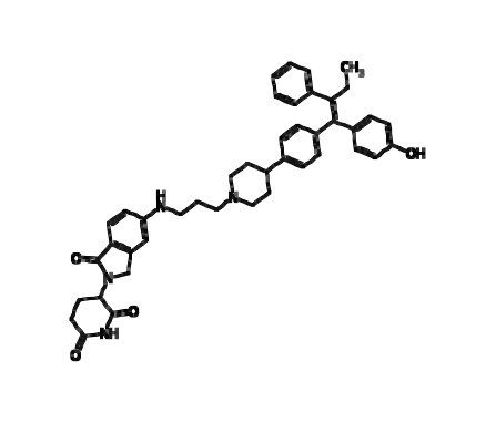 CCC(=C(c1ccc(O)cc1)c1ccc(C2CCN(CCCNc3ccc4c(c3)CN(C3CCC(=O)NC3=O)C4=O)CC2)cc1)c1ccccc1